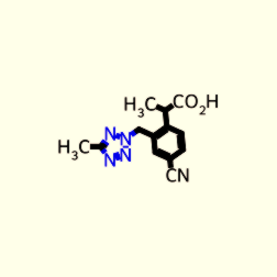 Cc1nnn(Cc2cc(C#N)ccc2C(C)C(=O)O)n1